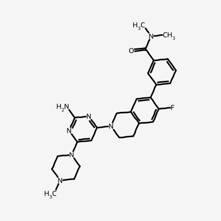 CN1CCN(c2cc(N3CCc4cc(F)c(-c5cccc(C(=O)N(C)C)c5)cc4C3)nc(N)n2)CC1